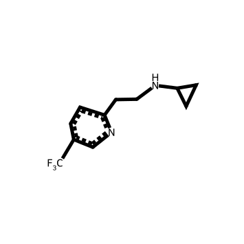 FC(F)(F)c1ccc(CCNC2CC2)nc1